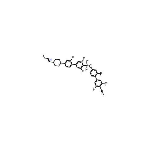 CC/C=C/C1CCC(c2ccc(-c3cc(F)c(C(F)(F)Oc4ccc(-c5cc(F)c(C#N)c(F)c5)c(F)c4)c(F)c3)c(F)c2)CC1